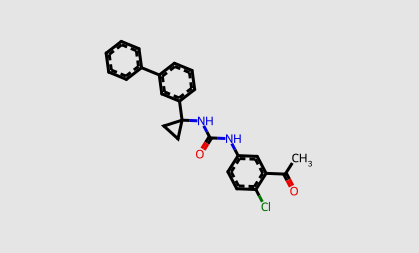 CC(=O)c1cc(NC(=O)NC2(c3cccc(-c4ccccc4)c3)CC2)ccc1Cl